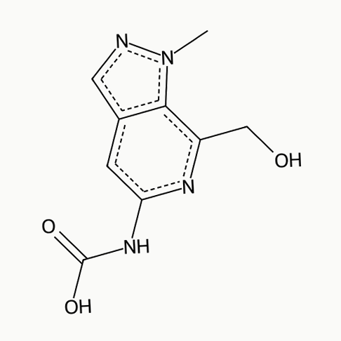 Cn1ncc2cc(NC(=O)O)nc(CO)c21